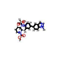 COC(=O)N1CCC[C@H](NS(C)(=O)=O)[C@@H]1Cc1cccc(-c2ccc3c(cnn3C)c2)c1